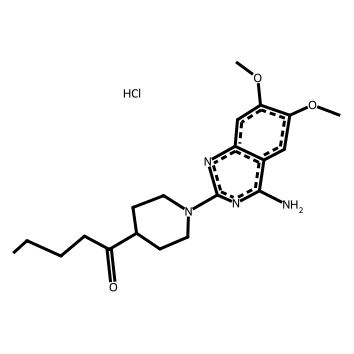 CCCCC(=O)C1CCN(c2nc(N)c3cc(OC)c(OC)cc3n2)CC1.Cl